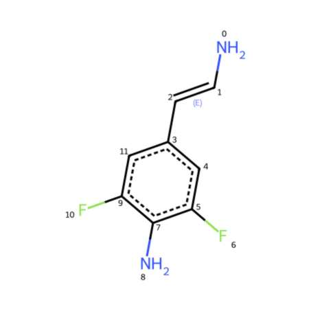 N/C=C/c1cc(F)c(N)c(F)c1